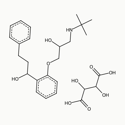 CC(C)(C)NCC(O)COc1ccccc1C(O)CCc1ccccc1.O=C(O)C(O)C(O)C(=O)O